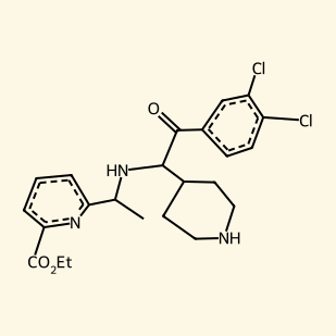 CCOC(=O)c1cccc(C(C)NC(C(=O)c2ccc(Cl)c(Cl)c2)C2CCNCC2)n1